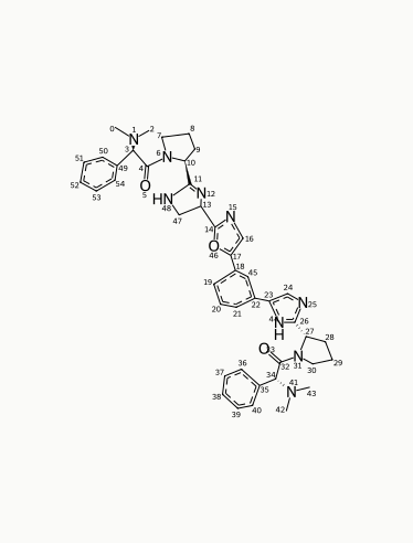 CN(C)[C@@H](C(=O)N1CCC[C@H]1C1=NC(c2ncc(-c3cccc(-c4cnc([C@@H]5CCCN5C(=O)[C@@H](c5ccccc5)N(C)C)[nH]4)c3)o2)CN1)c1ccccc1